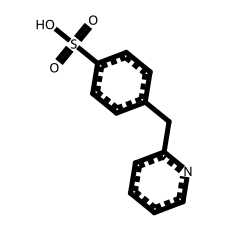 O=S(=O)(O)c1ccc(Cc2ccccn2)cc1